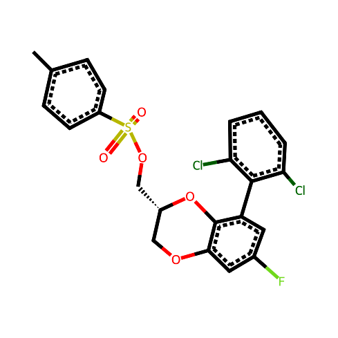 Cc1ccc(S(=O)(=O)OC[C@H]2COc3cc(F)cc(-c4c(Cl)cccc4Cl)c3O2)cc1